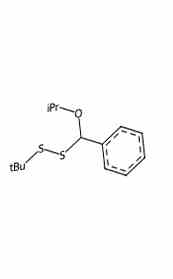 CC(C)OC(SSC(C)(C)C)c1ccccc1